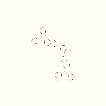 Cc1ccc(N(c2ccc3cc4c(cc3c2)oc2c4ccc3oc4cc5cc(N(c6ccc(C)c(C)c6)c6ccccc6C)ccc5cc4c32)c2ccccc2C)cc1C